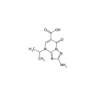 CC(C)n1cc(C(=O)O)c(=O)n2nc(N)nc12